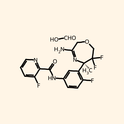 C[C@]1(c2cc(NC(=O)c3ncccc3F)ccc2F)N=C(N)COCC1(F)F.O=CO